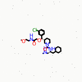 CNC[C@H](CC1CCCCC1)NC(=O)N1CCC[C@@H](C(OCC(=O)NCCOC)c2cccc(Cl)c2)C1